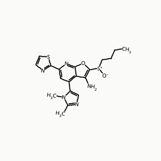 CCCC[S+]([O-])c1oc2nc(-c3nccs3)cc(-c3cnc(C)n3C)c2c1N